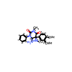 COc1cc(C2(NC(=O)O)C(=O)N(C)C(=O)N(c3ccccc3)C2N)ccc1OC(C)=O